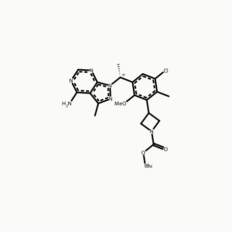 COc1c([C@@H](C)n2nc(C)c3c(N)ncnc32)cc(Cl)c(C)c1C1CN(C(=O)OC(C)(C)C)C1